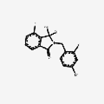 [2H]C1([2H])c2c(F)cccc2C(=O)N1Cc1ccc(Br)cc1F